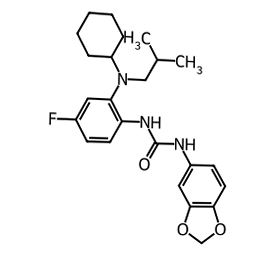 CC(C)CN(c1cc(F)ccc1NC(=O)Nc1ccc2c(c1)OCO2)C1CCCCC1